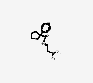 CN(C)CCNC(=O)C1(c2ccccc2)CCCC1